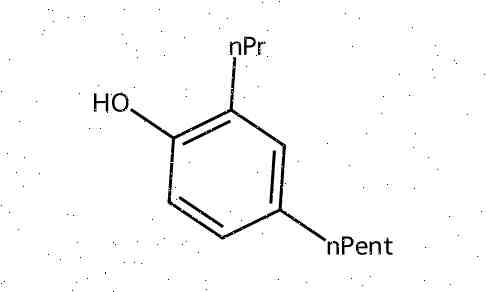 CCCCCc1ccc(O)c(CCC)c1